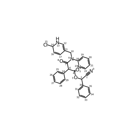 N#CC(OC(=O)C(C(=O)N(CC1=CNC(Cl)C=C1)c1ccccn1)c1ccccc1)c1ccccc1